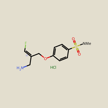 CNS(=O)(=O)c1ccc(OC/C(=C\F)CN)cc1.Cl